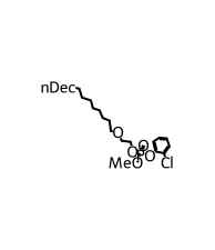 CCCCCCCCCCCCCCCCCCOCCOP(=O)(OC)Oc1ccccc1Cl